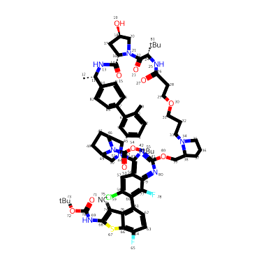 Cc1ccccc1-c1ccc([C@H](C)NC(=O)[C@@H]2C[C@@H](O)CN2C(=O)[C@@H](NC(=O)CCOCCCN2CCCC2COc2nc(N3CC4CCC(C3)N4C(=O)OC(C)(C)C)c3cc(Cl)c(-c4ccc(F)c5sc(NC(=O)OC(C)(C)C)c(C#N)c45)c(F)c3n2)C(C)(C)C)cc1